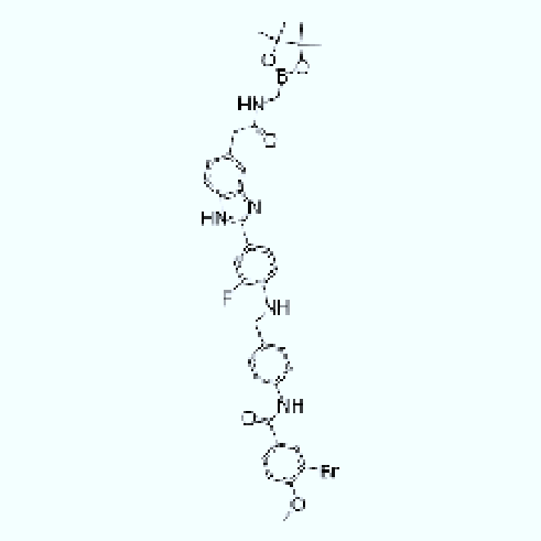 COc1ccc(C(=O)Nc2ccc(CNc3ccc(-c4nc5cc(CC(=O)NCB6OC(C)(C)C(C)(C)O6)ccc5[nH]4)cc3F)cc2)cc1Br